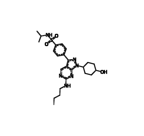 CCCCNc1ncc2c(-c3ccc(S(=O)(=O)NC(C)C)cc3)nn(C3CCC(O)CC3)c2n1